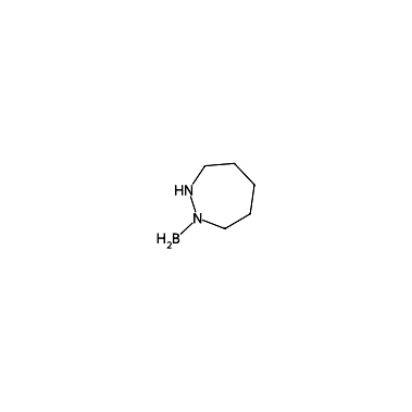 BN1CCCCCN1